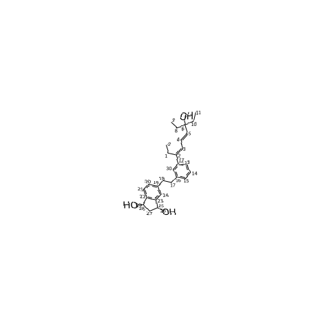 CC/C(=C\C=C\C(O)(CC)CC)c1cccc(CCc2ccc3c(c2)C(O)CC3O)c1